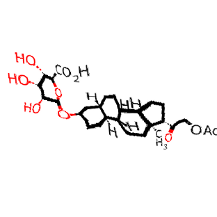 CC(=O)OCC(=O)[C@H]1CC[C@H]2[C@@H]3CC[C@H]4C[C@H](OC5O[C@H](C(=O)O)[C@@H](O)[C@@H](O)[C@H]5O)CC[C@@H]4[C@H]3CC[C@]12C